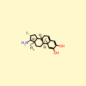 C[C@]12CC[C@H]3[C@@H](CC=C4C=C(O)C(O)=C[C@@]43C)[C@@H]1C[C@@H](F)[C@@H]2N